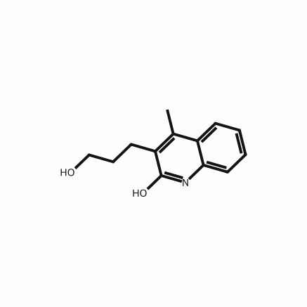 Cc1c(CCCO)c(O)nc2ccccc12